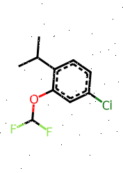 CC(C)c1ccc(Cl)cc1OC(F)F